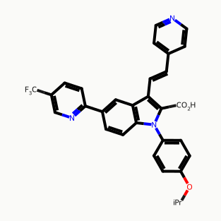 CC(C)Oc1ccc(-n2c(C(=O)O)c(C=Cc3ccncc3)c3cc(-c4ccc(C(F)(F)F)cn4)ccc32)cc1